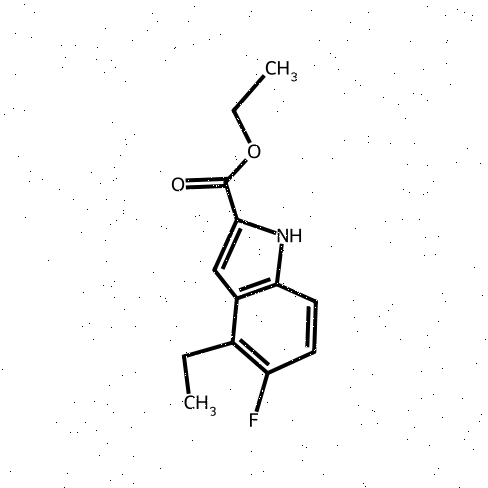 CCOC(=O)c1cc2c(CC)c(F)ccc2[nH]1